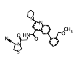 COCc1ccccc1-c1ccc2nc(N3CCCC3)cc(C(=O)NCC(=O)N3CSCC3C#N)c2c1